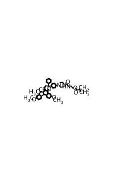 C=C(C)C(=O)OCCNC(=O)N1CCN(c2ccc(C3(c4ccccc4)C=Cc4c5c(c6ccc(OC)cc6c4O3)-c3ccc(OC)cc3C5(C)C)cc2)CC1